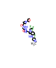 CCN1CC[C@@H](Nc2cccc3c2cc(-c2noc(CNC(=O)c4ccn(C5CCOC5)c4)n2)n3CC(F)(F)F)[C@@H](F)C1